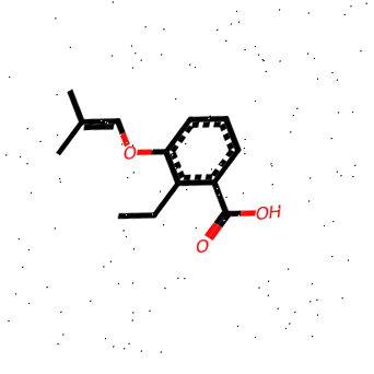 CCc1c(OC=C(C)C)cccc1C(=O)O